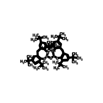 CC(C)(C)c1cc2c(c(C(C)(C)C)c1)OP(OP1Oc3c(cc(C(C)(C)C)cc3C(C)(C)C)Cc3cc(C(C)(C)C)cc(C(C)(C)C)c3O1)Oc1c(cc(C(C)(C)C)cc1C(C)(C)C)C2